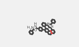 N=C(OC(N)c1ccccc1)c1ccc(-c2cc3ccccc3cc2-c2ccccc2C2=CC(c3ccccc3)=NC(c3ccccc3)N2)cc1